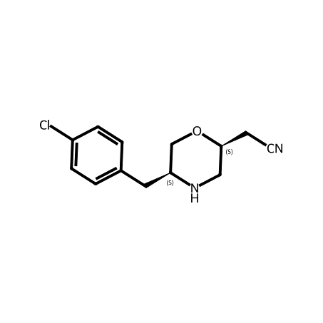 N#CC[C@H]1CN[C@@H](Cc2ccc(Cl)cc2)CO1